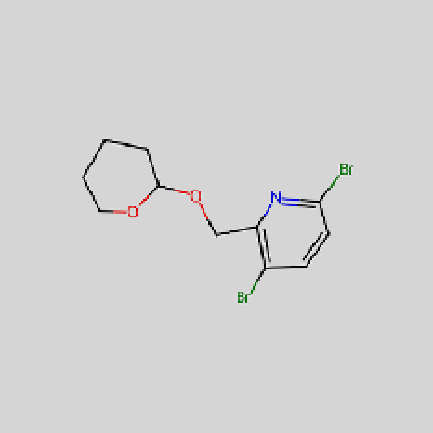 Brc1ccc(Br)c(COC2CCCCO2)n1